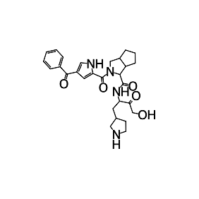 O=C(c1ccccc1)c1c[nH]c(C(=O)N2CC3CCCC3C2C(=O)NC(CC2CCNC2)C(=O)CO)c1